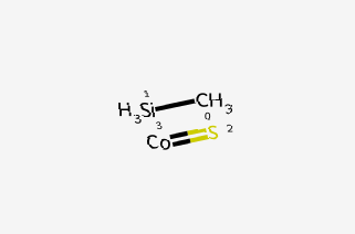 C[SiH3].[S]=[Co]